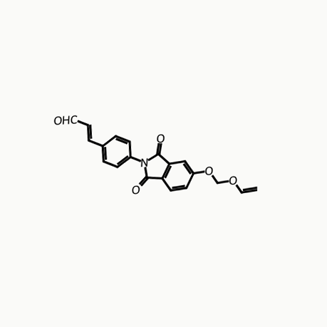 C=COCOc1ccc2c(c1)C(=O)N(c1ccc(C=CC=O)cc1)C2=O